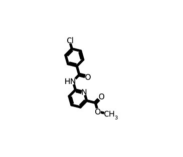 COC(=O)c1cccc(NC(=O)c2ccc(Cl)cc2)n1